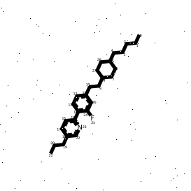 CCCCCC1CCC(CCc2ccc(-c3ccc(CCC)cn3)c(F)c2)CC1